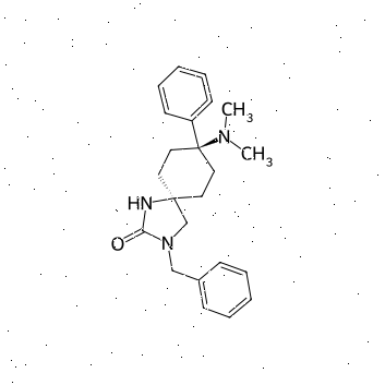 CN(C)[C@]1(C2=C=C=CC=C2)CC[C@]2(CC1)CN(Cc1ccccc1)C(=O)N2